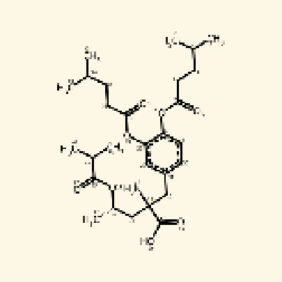 CC(C)CCC(=O)Oc1ccc(CC(N)(C[C@H](C)OC(=O)C(C)C)C(=O)O)cc1OC(=O)CCC(C)C